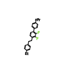 CCCc1ccc(-c2ccc(CCc3ccc(CC)cc3)c(F)c2F)cc1